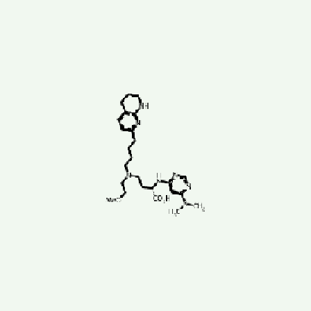 COCCN(CCCCc1ccc2c(n1)NCCC2)CC[C@H](Nc1cc(N(C)C)ncn1)C(=O)O